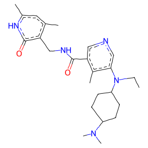 CCN(c1cncc(C(=O)NCc2c(C)cc(C)[nH]c2=O)c1C)C1CCC(N(C)C)CC1